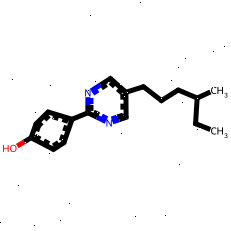 CCC(C)CCCc1cnc(-c2ccc(O)cc2)nc1